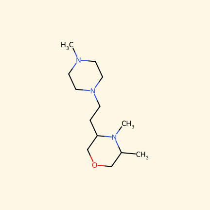 CC1COCC(CCN2CCN(C)CC2)N1C